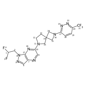 FC(F)Cn1ncc2ncc(N3CCC4(CN(c5ccc(C(F)(F)F)nn5)C4)C3)nc21